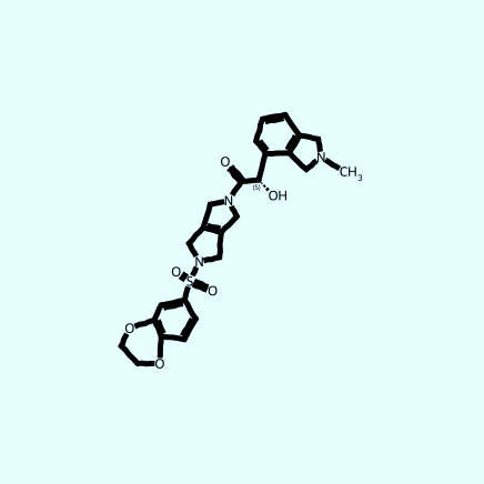 CN1Cc2cccc([C@H](O)C(=O)N3CC4=C(C3)CN(S(=O)(=O)c3ccc5c(c3)OCCO5)C4)c2C1